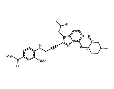 CNC(=O)c1ccc(NCC#Cc2nn3c(N[C@@H]4CCN(C)C[C@@H]4F)nccc3c2SC(C)F)c(OC)c1